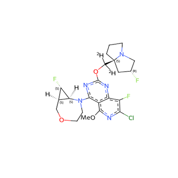 [2H]C([2H])(Oc1nc(N2CCOC[C@H]3[C@H](F)[C@H]32)c2c(OC)nc(Cl)c(F)c2n1)[C@@]12CCCN1C[C@H](F)C2